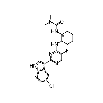 CN(C)C(=O)N[C@H]1CCCCC1Nc1nc(-c2c[nH]c3ncc(Cl)cc23)ncc1F